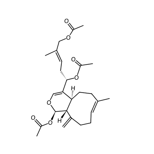 C=C1CC/C=C(\C)CC[C@@H]2C([C@H](C/C=C(\C)COC(C)=O)OC(C)=O)=CO[C@H](OC(C)=O)[C@@H]12